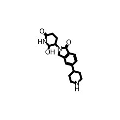 O=C1CCC(N2Cc3cc(C4CCNCC4)ccc3C2=O)C(O)N1